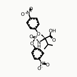 CC(C)[C@](C)(NP(=O)(Oc1ccc([N+](=O)[O-])cc1)Oc1ccc([N+](=O)[O-])cc1)C(=O)O